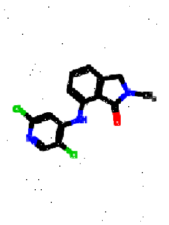 CN1Cc2cccc(Nc3cc(Cl)ncc3Cl)c2C1=O